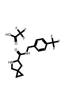 O=C(NCc1ccc(C(F)(F)F)cc1)C1CC2(CC2)CN1.O=C(O)C(F)(F)F